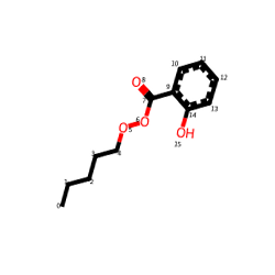 CCCCCOOC(=O)c1ccccc1O